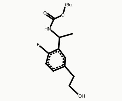 CC(NC(=O)OC(C)(C)C)c1cc(CCO)ccc1F